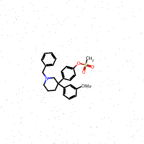 COc1cccc(C2(c3ccc(OS(C)(=O)=O)cc3)CCCN(Cc3ccccc3)C2)c1